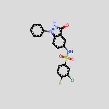 O=c1[nH]n(-c2ccccc2)c2ccc(NS(=O)(=O)c3ccc(F)c(Cl)c3)cc12